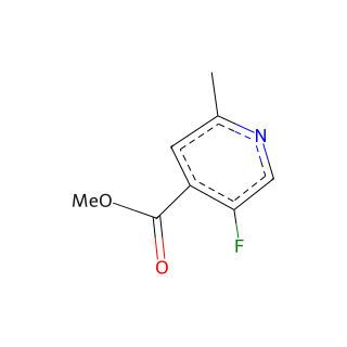 COC(=O)c1cc(C)ncc1F